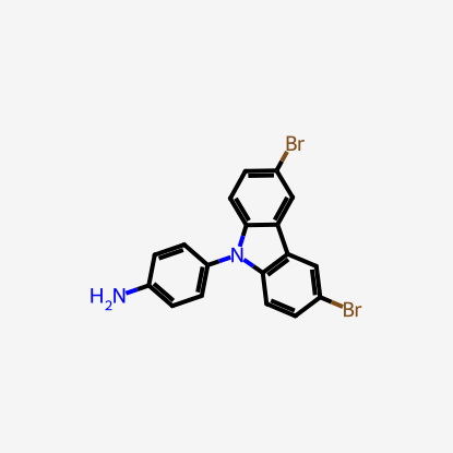 Nc1ccc(-n2c3ccc(Br)cc3c3cc(Br)ccc32)cc1